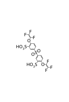 O=S(=O)(O)c1cc(S(=O)(=O)c2ccc(OC(F)=C(F)F)c(S(=O)(=O)O)c2)ccc1OC(F)=C(F)F